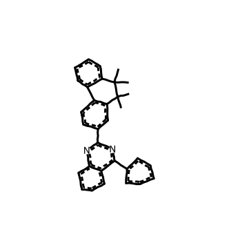 CC1(C)c2ccccc2-c2ccc(-c3nc(-c4ccccc4)c4ccccc4n3)cc2C1(C)C